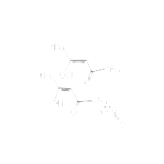 CC(C)(C)C(=O)C=C(O)C(C)(C)C.CC(C)(C)C(=O)C=C(O)C(C)(C)C.[O]=[Mo]=[O]